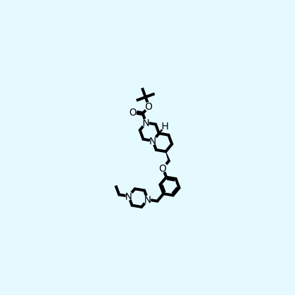 CCN1CCN(Cc2cccc(OC[C@@H]3CC[C@H]4CN(C(=O)OC(C)(C)C)CCN4C3)c2)CC1